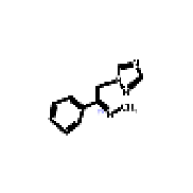 C/N=C(\Cn1cncn1)c1ccccc1